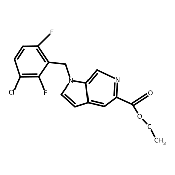 CCOC(=O)c1cc2ccn(Cc3c(F)ccc(Cl)c3F)c2cn1